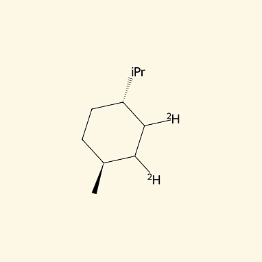 [2H]C1C([2H])[C@@H](C)CC[C@@H]1C(C)C